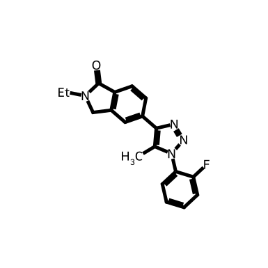 CCN1Cc2cc(-c3nnn(-c4ccccc4F)c3C)ccc2C1=O